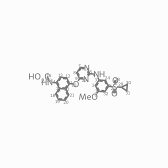 COc1cc(Nc2nccc(Oc3ccc(NC(=O)O)c4ccccc34)n2)cc(S(=O)(=O)C2CC2)c1